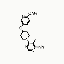 CCCc1ncnc(N2CCC(Oc3ccc(OC)nc3)CC2)c1C